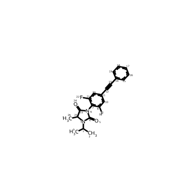 CC(C)N1C(=O)N(c2c(F)cc(C#Cc3ccccc3)cc2F)C(=O)C1C